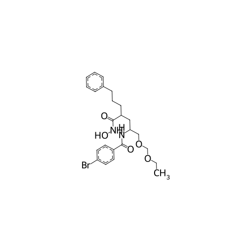 CCOCOCC(CC(CCCc1ccccc1)C(=O)NO)NC(=O)c1ccc(Br)cc1